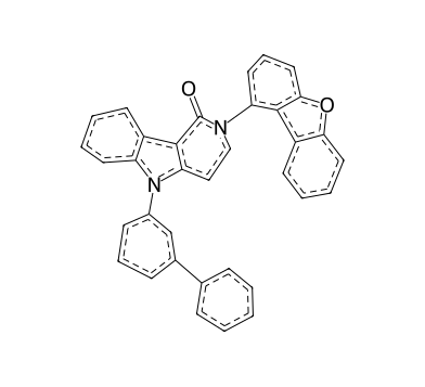 O=c1c2c3ccccc3n(-c3cccc(-c4ccccc4)c3)c2ccn1-c1cccc2oc3ccccc3c12